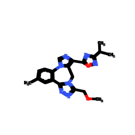 COCc1nnc2n1Cc1c(-c3nc(C(C)C)no3)ncn1-c1ccc(C)cc1-2